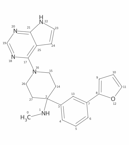 CNC1(c2cccc(-c3ccco3)c2)CCN(c2ncnc3[nH]ccc23)CC1